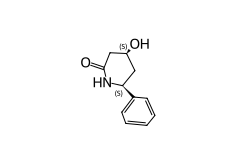 O=C1C[C@@H](O)C[C@@H](c2ccccc2)N1